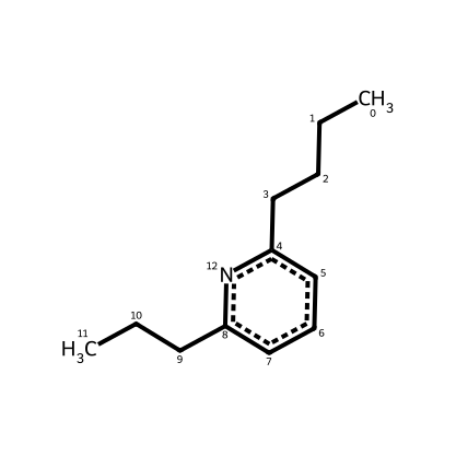 CCCCc1cccc(CCC)n1